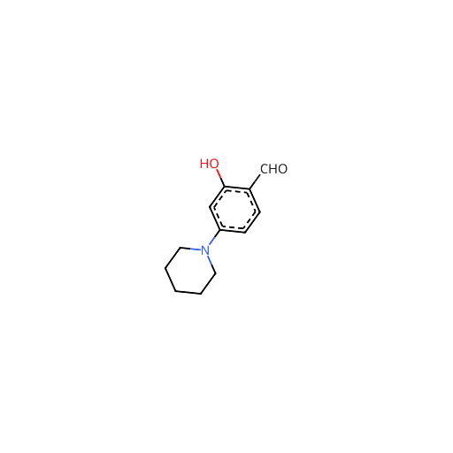 O=Cc1ccc(N2CCCCC2)cc1O